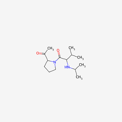 CC(=O)C1CCCN1C(=O)C(NC(C)C)C(C)C